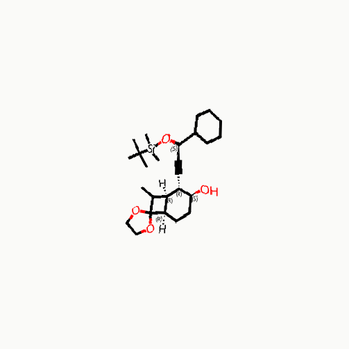 CC1[C@H]2[C@H](C#C[C@@H](O[Si](C)(C)C(C)(C)C)C3CCCCC3)[C@@H](O)CC[C@H]2C12OCCO2